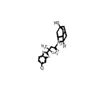 CC(C)(CC(=O)N1C2CC3C[C@H]1CC(O)(C3)C2)c1nc2ccc(Cl)cc2s1